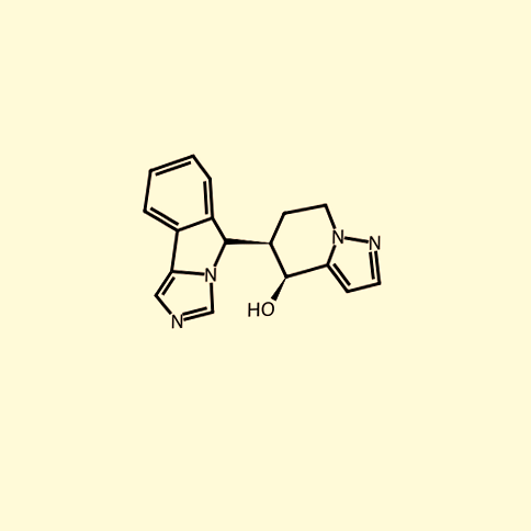 O[C@@H]1c2ccnn2CC[C@@H]1C1c2ccccc2-c2cncn21